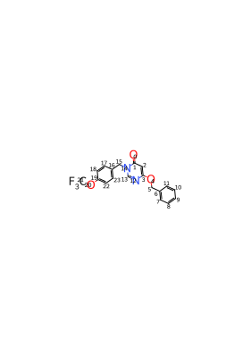 O=c1cc(OCc2ccccc2)ncn1Cc1ccc(OC(F)(F)F)cc1